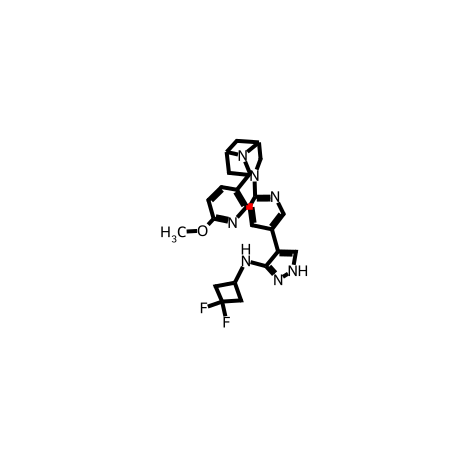 COc1ccc(CN2C3CC2CN(c2ccc(-c4c[nH]nc4NC4CC(F)(F)C4)cn2)C3)cn1